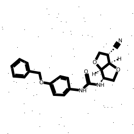 N#C[C@H]1CO[C@H]2[C@@H]1OC[C@@H]2NC(=O)Nc1ccc(OCc2ccccc2)cc1